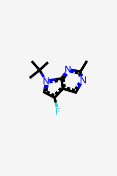 Cc1ncc2c(F)cn(C(C)(C)C)c2n1